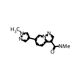 CNC(=O)c1cnn2cc(-c3cnn(C)c3)ccc12